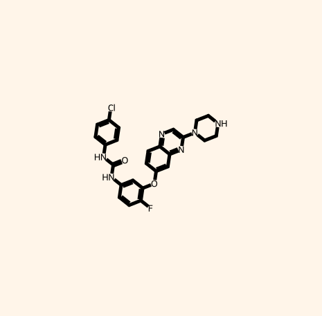 O=C(Nc1ccc(Cl)cc1)Nc1ccc(F)c(Oc2ccc3ncc(N4CCNCC4)nc3c2)c1